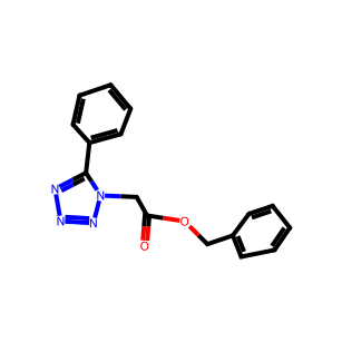 O=C(Cn1nnnc1-c1ccccc1)OCc1ccccc1